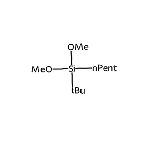 CCCCC[Si](OC)(OC)C(C)(C)C